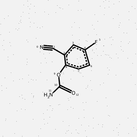 N#Cc1cc(F)ccc1OC(N)=O